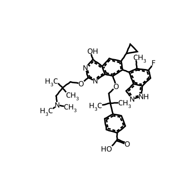 Cc1c(F)cc2[nH]ncc2c1-c1c(C2CC2)cc2c(O)nc(OCC(C)(C)CN(C)C)nc2c1OCC(C)(C)c1ccc(C(=O)O)cc1